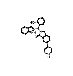 O=C1c2cc(C3=CCNCC3)ccc2CN1[C@@H](c1cc2ccccc2[nH]1)c1ccccc1O